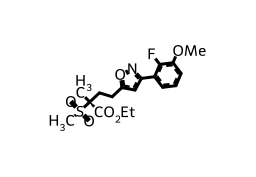 CCOC(=O)[C@@](C)(CCc1cc(-c2cccc(OC)c2F)no1)S(C)(=O)=O